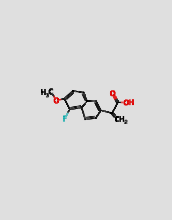 C=C(C(=O)O)c1ccc2c(F)c(OC)ccc2c1